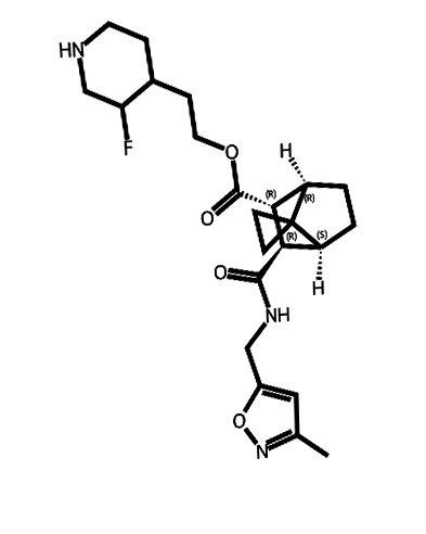 Cc1cc(CNC(=O)[C@H]2[C@H](C(=O)OCCC3CCNCC3F)[C@H]3CC[C@@H]2C32CC2)on1